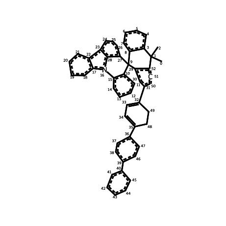 CC1(C)c2ccccc2C2(c3ccccc3-n3c4ccccc4c4cccc2c43)c2cc(C3=CC=C(c4ccc(-c5ccccc5)cc4)CC3)ccc21